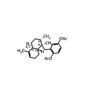 CC(=O)Oc1ccc(OC(C)=O)c(C[C@]2(C)[C@@H](C)CC[C@]3(C)C(C)=CCC[C@@H]23)c1